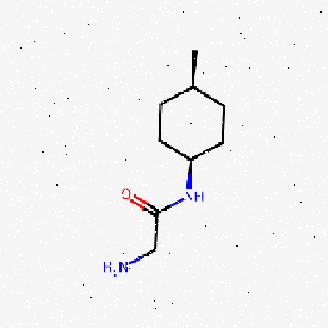 C[C@H]1CC[C@@H](NC(=O)CN)CC1